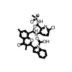 Cc1cc([C@@H](C)Nc2ccc(Cl)nc2C(=O)NS(C)(=O)=O)c2oc(-c3cc4ccccc4n3C(=O)O)c(C)c(=O)c2c1